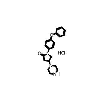 Cl.O=C1CC(N2CCNCC2)CN1c1ccc(Oc2ccccc2)cc1